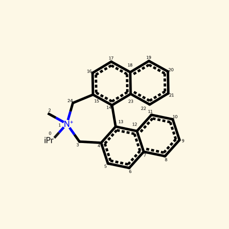 CC(C)[N+]1(C)Cc2ccc3ccccc3c2-c2c(ccc3ccccc23)C1